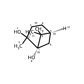 CC1(O)CC[C@H]2C[C@]1(O)C2(C)C